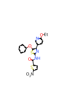 CCOc1ccc(-c2nc(NC(=O)c3ccc([N+](=O)[O-])s3)sc2Oc2ccccc2)cn1